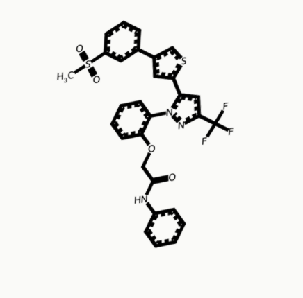 CS(=O)(=O)c1cccc(-c2csc(-c3cc(C(F)(F)F)nn3-c3ccccc3OCC(=O)Nc3ccccc3)c2)c1